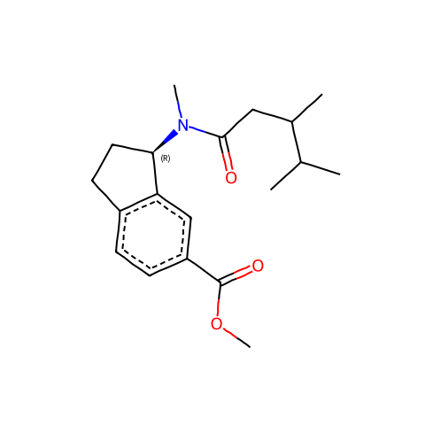 COC(=O)c1ccc2c(c1)[C@H](N(C)C(=O)CC(C)C(C)C)CC2